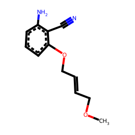 COC/C=C/COc1cccc(N)c1C#N